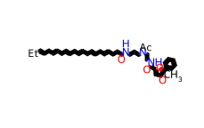 CCC=CCC=CCC=CCC=CCC=CCC=CCCC(=O)NCCCN(CCNC(=O)C1=CC(=O)C(C)(c2ccccc2)O1)C(C)=O